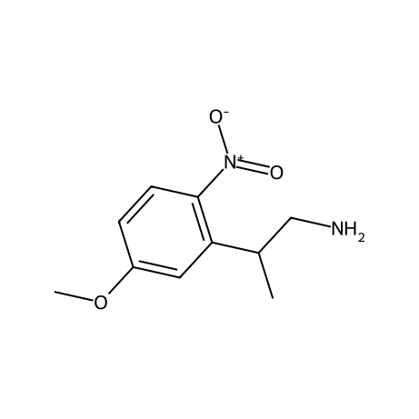 COc1ccc([N+](=O)[O-])c(C(C)CN)c1